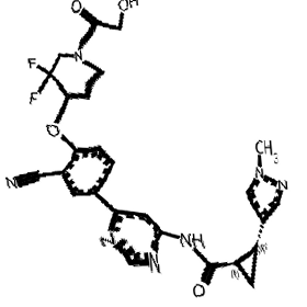 Cn1cc([C@@H]2C[C@H]2C(=O)Nc2cc(-c3ccc(OC4CCN(C(=O)CO)CC4(F)F)c(C#N)c3)ncn2)cn1